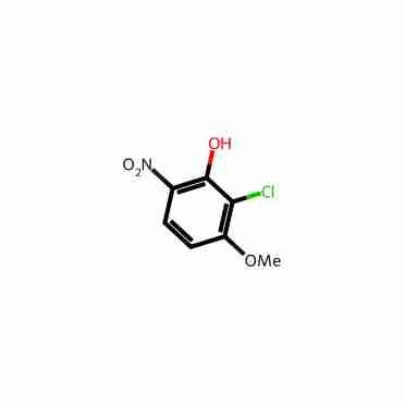 COc1ccc([N+](=O)[O-])c(O)c1Cl